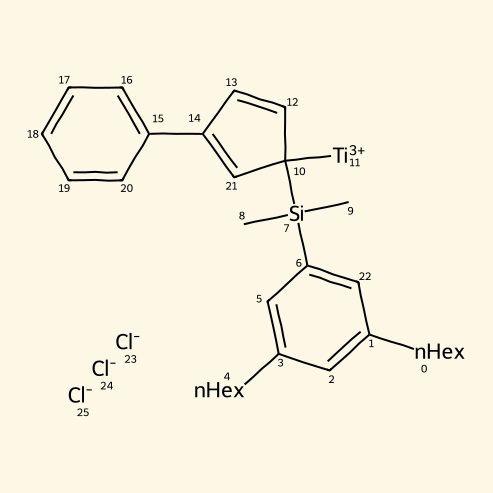 CCCCCCc1cc(CCCCCC)cc([Si](C)(C)[C]2([Ti+3])C=CC(c3ccccc3)=C2)c1.[Cl-].[Cl-].[Cl-]